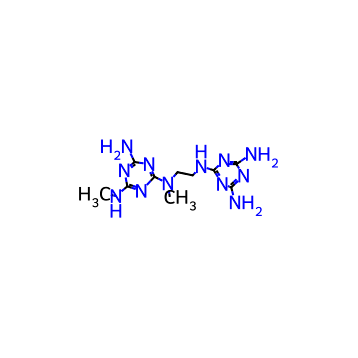 CNc1nc(N)nc(N(C)CCNc2nc(N)nc(N)n2)n1